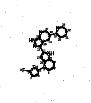 Fc1ccc(-c2cccc3[nH]c(-c4n[nH]c5ncc(-c6ccccn6)cc45)cc23)s1